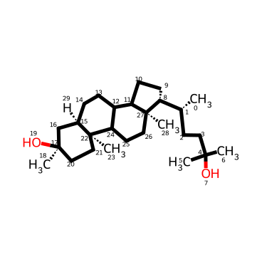 C[C@H](CCC(C)(C)O)[C@H]1CCC2C3CC[C@@H]4C[C@](C)(O)CC[C@]4(C)C3CC[C@@]21C